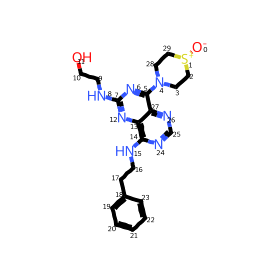 [O-][S+]1CCN(c2nc(NCCO)nc3c(NCCc4ccccc4)ncnc23)CC1